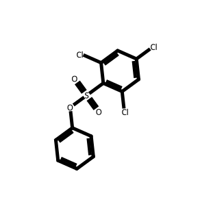 O=S(=O)(Oc1ccccc1)c1c(Cl)cc(Cl)cc1Cl